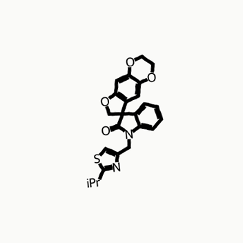 CC(C)c1nc(CN2C(=O)C3(COc4cc5c(cc43)OCCO5)c3ccccc32)cs1